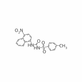 Cc1ccc(S(=O)(=O)NC(=O)Nc2ccc([N+](=O)[O-])c3ccccc23)cc1